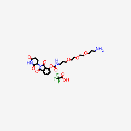 NCCCOCCOCCOCCCNC(=O)Oc1cccc2c1C(=O)N(C1CCC(=O)NC1=O)C2=O.O=C(O)C(F)(F)F